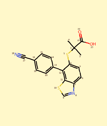 CC(C)(Sc1ccc2ncsc2c1-c1ccc(C#N)cc1)C(=O)O